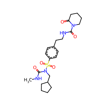 CNC(=O)N(CC1CCCC1)S(=O)(=O)c1ccc(CCNC(=O)N2CCCCC2=O)cc1